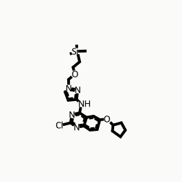 C[Si](C)(C)CCOCn1ccc(Nc2nc(Cl)nc3ccc(OC4CCCC4)cc23)n1